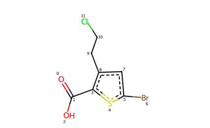 O=C(O)c1sc(Br)cc1CCCl